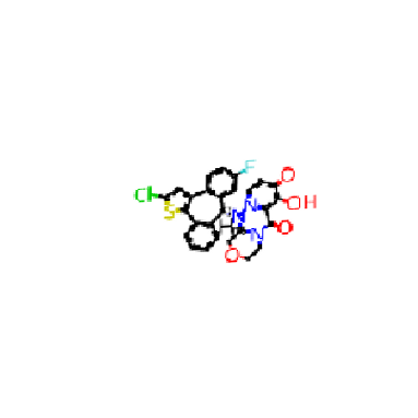 O=C1c2c(O)c(=O)ccn2N([C@H]2c3cc(F)ccc3-c3cc(Cl)sc3-c3ccccc32)[C@@H]2COCCN12